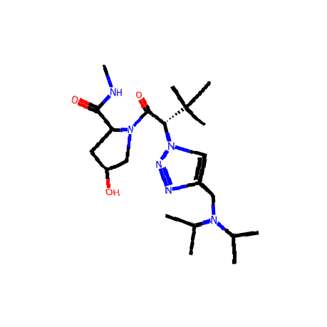 CNC(=O)C1CC(O)CN1C(=O)[C@@H](n1cc(CN(C(C)C)C(C)C)nn1)C(C)(C)C